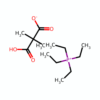 CC(C)(C(=O)[O-])C(=O)O.CC[P+](CC)(CC)CC